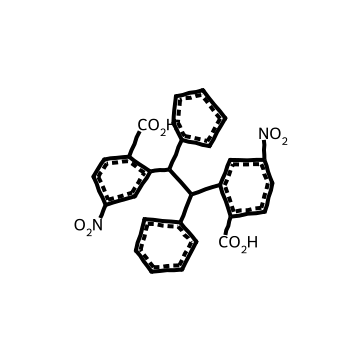 O=C(O)c1ccc([N+](=O)[O-])cc1C(c1ccccc1)C(c1ccccc1)c1cc([N+](=O)[O-])ccc1C(=O)O